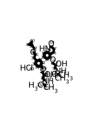 CC(C)(C)NCC(O)COc1cccc2c1CCC(=O)N2.CC(C)NCC(O)COc1ccc(CCOCC2CC2)cc1.Cl